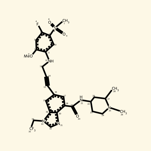 COc1cc(F)c(S(C)(=O)=O)cc1NCC#Cc1cc(C(=O)NC2CCN(C)C(C)C2)c2ncn(CC(F)(F)F)c2c1